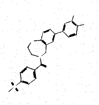 CS(=O)(=O)c1ccc(C(=O)N2CCOc3ccc(-c4ccc(N)c(O)c4)cc3C2)cc1